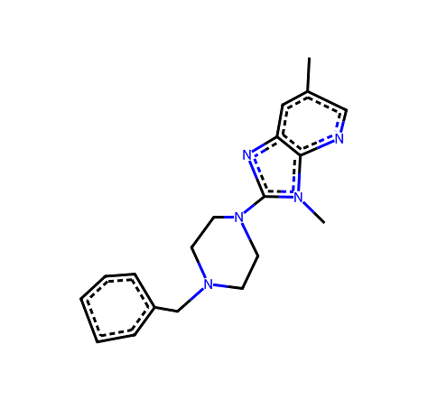 Cc1cnc2c(c1)nc(N1CCN(Cc3ccccc3)CC1)n2C